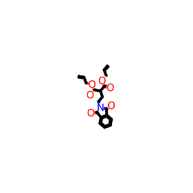 C=CCOC(=O)C(CCN1C(=O)c2ccccc2C1=O)C(=O)OCC=C